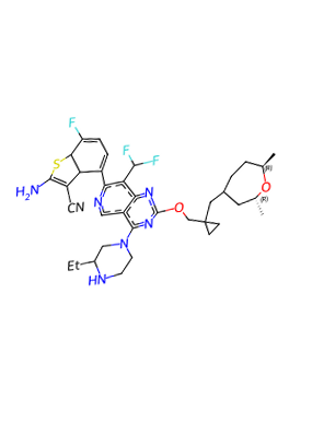 CCC1CN(c2nc(OCC3(CC4CC[C@@H](C)O[C@H](C)C4)CC3)nc3c(C(F)F)c(C4=CC=C(F)C5SC(N)=C(C#N)C45)ncc23)CCN1